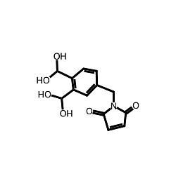 O=C1C=CC(=O)N1Cc1ccc(C(O)O)c(C(O)O)c1